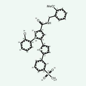 COc1ccccc1CNC(=O)c1cc(-c2ccc(-c3cccc(S(C)(=O)=O)c3)s2)n(-c2ccccc2Cl)n1